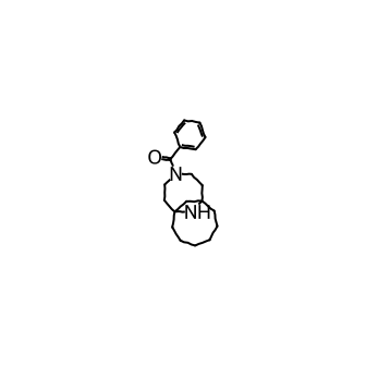 O=C(c1ccccc1)N1CCC23CCCCCCC(CC1)(C2)N3